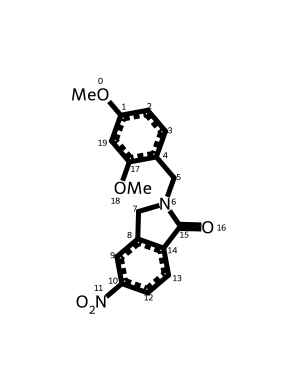 COc1ccc(CN2Cc3cc([N+](=O)[O-])ccc3C2=O)c(OC)c1